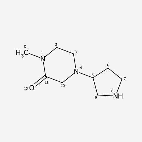 CN1CCN(C2CCNC2)CC1=O